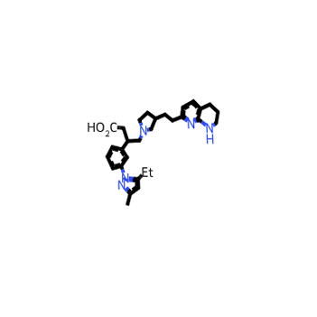 CCc1cc(C)nn1-c1cccc(C(CC(=O)O)CN2CCC(CCc3ccc4c(n3)NCCC4)C2)c1